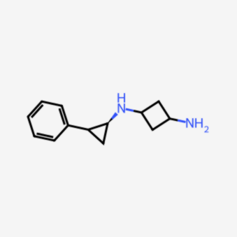 NC1CC(N[C@H]2CC2c2ccccc2)C1